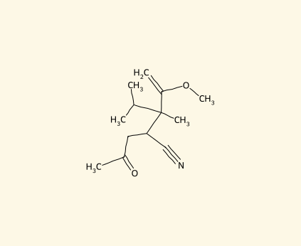 C=C(OC)C(C)(C(C)C)C(C#N)CC(C)=O